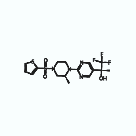 C[C@H]1CN(S(=O)(=O)c2cccs2)CCN1c1ncc([C@@](C)(O)C(F)(F)F)cn1